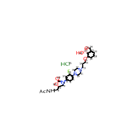 CC(=O)NCC1CN(c2ccc(N3CCN(CCCOc4cccc5c4B(O)OC5)CC3)c(F)c2)C(=O)O1.Cl